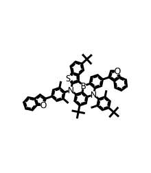 Cc1cc(C(C)(C)C)cc(C)c1N1c2cc(-c3coc4ccccc34)ccc2B2c3c1cc(C(C)(C)C)cc3N(c1c(C)cc(-c3cc4ccccc4o3)cc1C)c1sc3ccc(C(C)(C)C)cc3c12